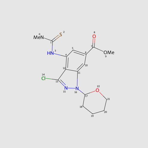 CNC(=S)Nc1cc(C(=O)OC)cc2c1c(Cl)nn2C1CCCCO1